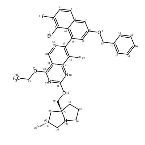 CCc1c(F)ccc2cc(OCc3ccccc3)cc(-c3ncc4c(OCC(F)(F)F)nc(OC[C@@]56CCCN5C[C@H](F)C6)nc4c3F)c12